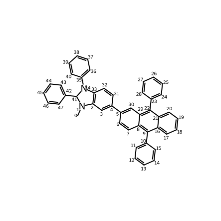 CN1c2cc(-c3ccc4c(-c5ccccc5)c5ccccc5c(-c5ccccc5)c4c3)ccc2N(c2ccccc2)C1c1ccccc1